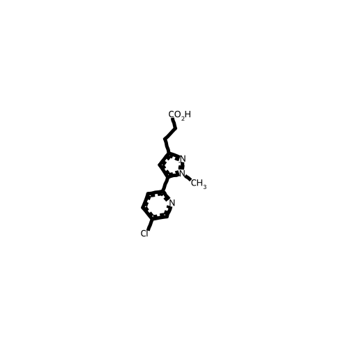 Cn1nc(CCC(=O)O)cc1-c1ccc(Cl)cn1